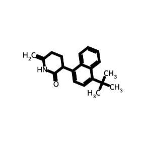 C=C1CCC(c2ccc(C(C)(C)C)c3ccccc23)C(=O)N1